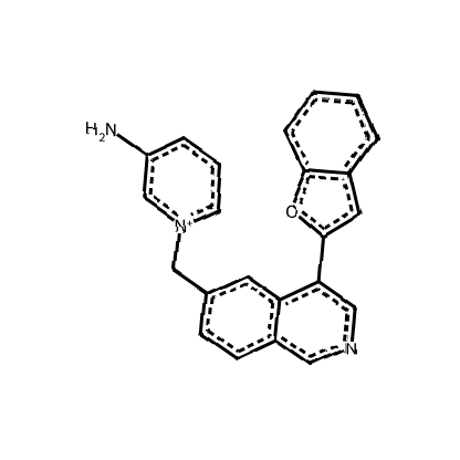 Nc1ccc[n+](Cc2ccc3cncc(-c4cc5ccccc5o4)c3c2)c1